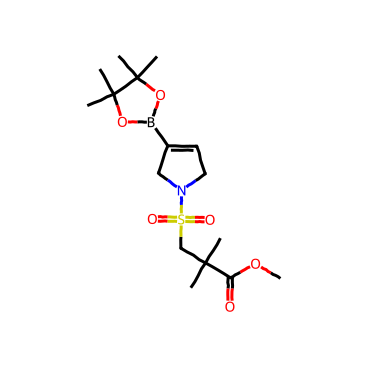 COC(=O)C(C)(C)CS(=O)(=O)N1CC=C(B2OC(C)(C)C(C)(C)O2)C1